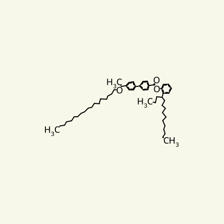 CCCCCCCCCCCCCCCCCCOC(C)c1ccc(-c2ccc(C(=O)Oc3ccccc3C(CCC)CCCCCCCCCCC)cc2)cc1